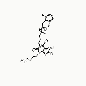 CCCCn1c(=O)n(CCCc2nc(Cc3c(F)cccc3F)no2)c(=O)c2[nH]c(Cl)nc21